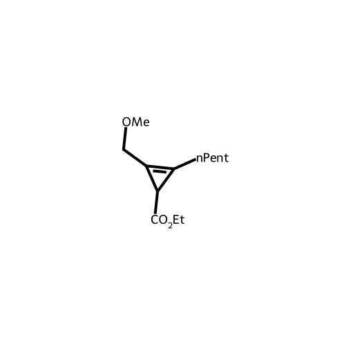 CCCCCC1=C(COC)C1C(=O)OCC